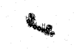 COC(=O)N[C@@H](C)C(=O)N1CC2(C[C@H]1c1ncc(-c3ccc(-c4ccc(-c5cnc(C6CCCN6C(=O)[C@@H](NC(=O)OC)C(C)C)[nH]5)cc4)cc3)[nH]1)OCCCO2